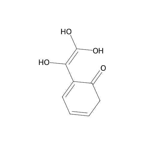 O=C1CC=CC=C1C(O)=C(O)O